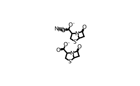 O=C([O-])C1CSC2CC(=O)N21.O=C([O-])C1CSC2CC(=O)N21.[Na+].[Na+]